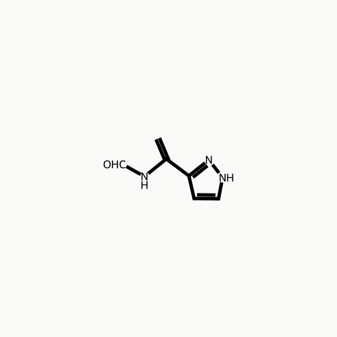 C=C(NC=O)c1cc[nH]n1